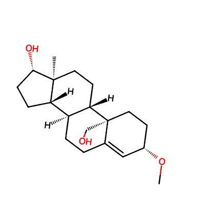 CO[C@@H]1C=C2CC[C@@H]3[C@H](CC[C@]4(C)[C@@H](O)CC[C@@H]34)[C@@]2(CO)CC1